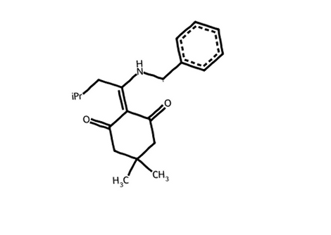 CC(C)CC(N[CH]c1ccccc1)=C1C(=O)CC(C)(C)CC1=O